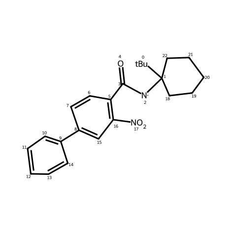 CC(C)(C)C1([N]C(=O)c2ccc(-c3ccccc3)cc2[N+](=O)[O-])CCCCC1